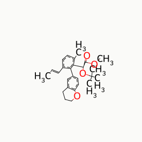 CC=Cc1ccc(C)c(C(OC(C)(C)C)C(=O)OC)c1-c1ccc2c(c1)CCCO2